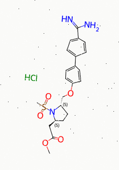 COC(=O)C[C@@H]1CC[C@@H](COc2ccc(-c3ccc(C(=N)N)cc3)cc2)N1S(C)(=O)=O.Cl